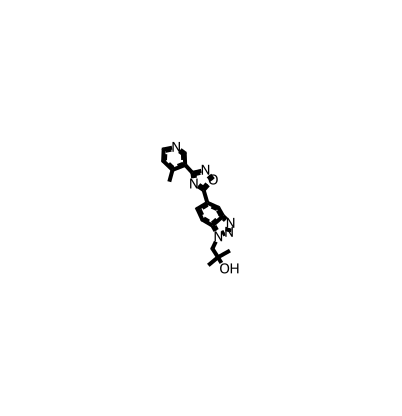 Cc1ccncc1-c1noc(-c2ccc3c(c2)nnn3CC(C)(C)O)n1